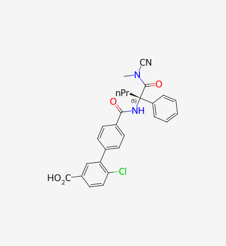 CCC[C@@](NC(=O)c1ccc(-c2cc(C(=O)O)ccc2Cl)cc1)(C(=O)N(C)C#N)c1ccccc1